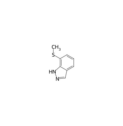 CSc1cccc2cn[nH]c12